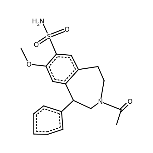 COc1cc2c(cc1S(N)(=O)=O)CCN(C(C)=O)CC2c1ccccc1